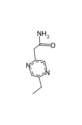 CCc1cnc(CC(N)=O)cn1